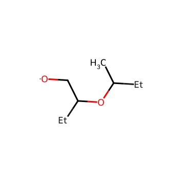 CCC(C)OC(CC)C[O]